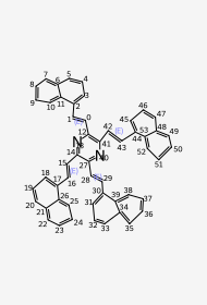 C(=C\c1cccc2ccccc12)/c1nc(/C=C/c2cccc3ccccc23)c(/C=C/c2cccc3ccccc23)nc1/C=C/c1cccc2ccccc12